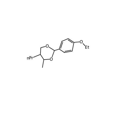 CCCC1COC(c2ccc(OCC)cc2)OC1C